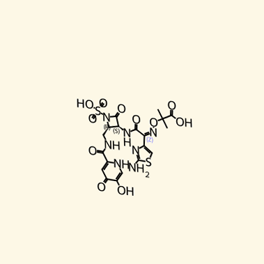 CC(C)(O/N=C(\C(=O)N[C@@H]1C(=O)N(S(=O)(=O)O)[C@@H]1CNC(=O)c1cc(=O)c(O)c[nH]1)c1csc(N)n1)C(=O)O